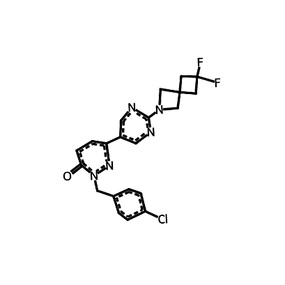 O=c1ccc(-c2cnc(N3CC4(C3)CC(F)(F)C4)nc2)nn1Cc1ccc(Cl)cc1